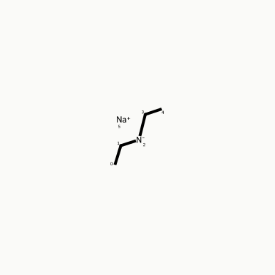 CC[N-]CC.[Na+]